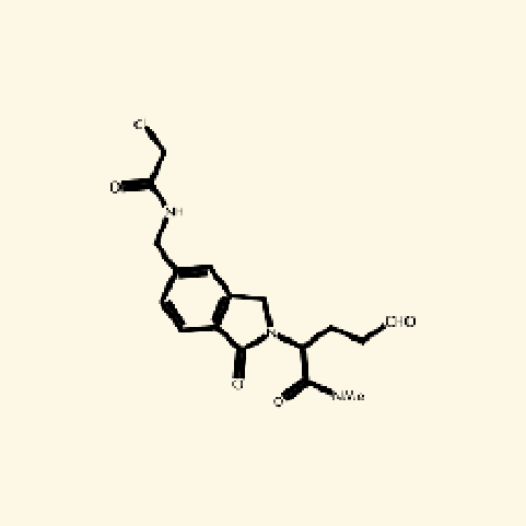 CNC(=O)C(CCC=O)N1Cc2cc(CNC(=O)CCl)ccc2C1=O